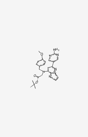 COc1ccc(CN(CC(=O)OC(C)(C)C)c2cc(-c3cnc(N)nc3)nn3ccnc23)cc1